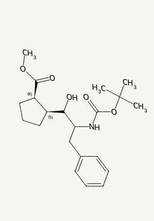 COC(=O)[C@@H]1CCC[C@@H]1C(O)C(Cc1ccccc1)NC(=O)OC(C)(C)C